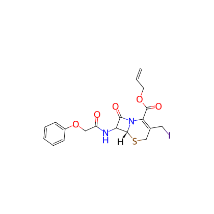 C=CCOC(=O)C1=C(CI)CS[C@@H]2C(NC(=O)COc3ccccc3)C(=O)N12